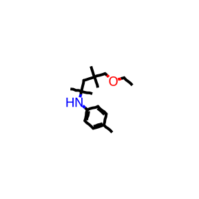 CCOCC(C)(C)CC(C)(C)Nc1ccc(C)cc1